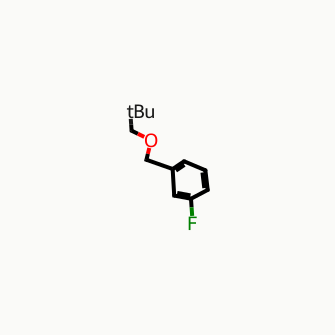 CC(C)(C)COCc1cccc(F)c1